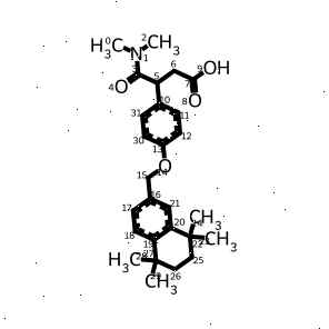 CN(C)C(=O)C(CC(=O)O)c1ccc(OCc2ccc3c(c2)C(C)(C)CCC3(C)C)cc1